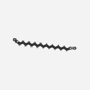 O=[C]CCCCCCCCCCCCCCCCC=C=O